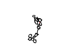 C1=CC2c3ccc4c(c3N(c3ccc(-c5ccc(N(c6ccccc6)c6cccc7c6c6ccccc6n7-c6ccccc6)cc5)cc3)C2C=C1)C=CCC4